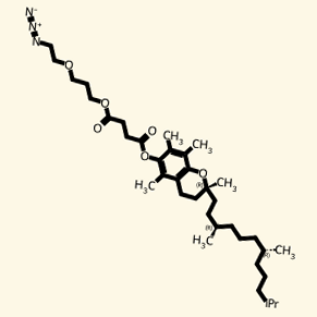 Cc1c(C)c2c(c(C)c1OC(=O)CCC(=O)OCCCOCCN=[N+]=[N-])CC[C@@](C)(CC[C@H](C)CCC[C@H](C)CCCC(C)C)O2